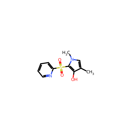 Cc1cn(C)c(S(=O)(=O)c2ccccn2)c1O